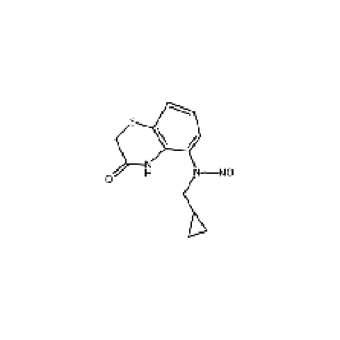 O=NN(CC1CC1)c1cccc2c1NC(=O)CS2